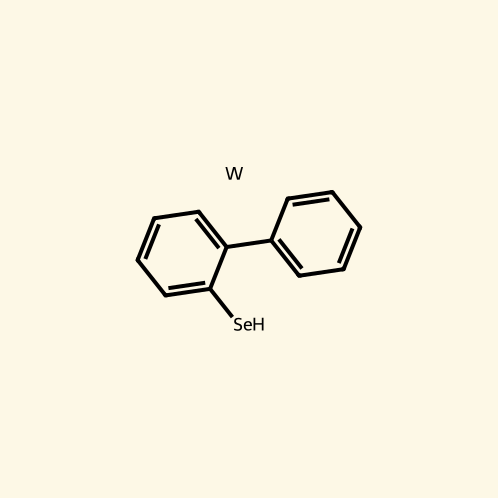 [SeH]c1ccccc1-c1ccccc1.[W]